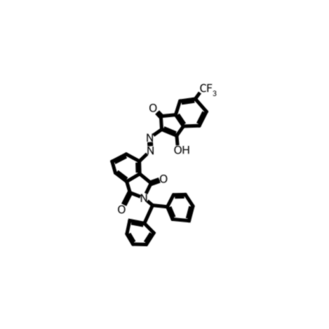 O=C1C(N=Nc2cccc3c2C(=O)N(C(c2ccccc2)c2ccccc2)C3=O)=C(O)c2ccc(C(F)(F)F)cc21